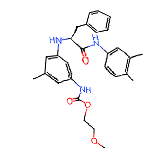 COCCOC(=O)Nc1cc(C)cc(N[C@@H](Cc2ccccc2)C(=O)Nc2ccc(C)c(C)c2)c1